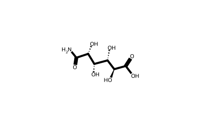 NC(=O)[C@H](O)[C@@H](O)[C@H](O)[C@H](O)C(=O)O